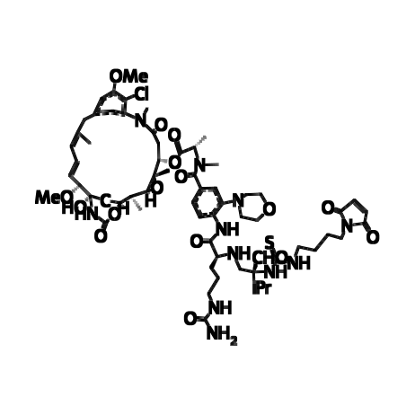 COc1cc2cc(c1Cl)N(C)C(=O)C[C@H](OC(=O)[C@H](C)N(C)C(=O)c1ccc(NC(=O)[C@H](CCCNC(N)=O)NC[C@](C=O)(NC(=S)NCCCCN3C(=O)C=CC3=O)C(C)C)c(N3CCOCC3)c1)[C@]1(C)O[C@H]1[C@H](C)[C@@H]1C[C@@](O)(NC(=O)O1)[C@H](OC)/C=C/C=C(\C)C2